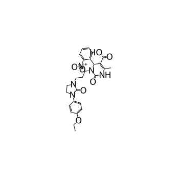 CCOc1ccc(N2CCN(CCCN3C(=O)NC(C)=C(C(=O)O)C3c3ccccc3[N+](=O)[O-])C2=O)cc1